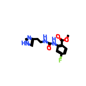 COC(=O)c1ccc(F)cc1NC(=O)NCCc1c[nH]cn1